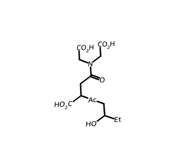 CCC(O)[CH2][Ac][CH](CC(=O)N(CC(=O)O)CC(=O)O)C(=O)O